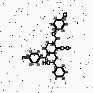 O=C=C1C(CC(O)c2ccccc2)N(Cc2ccc(F)cc2)CCN1COc1ccc(Cl)cc1